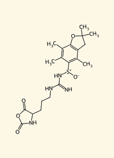 Cc1c(C)c([S+]([O-])NC(=N)NCCCC2NC(=O)OC2=O)c(C)c2c1OC(C)(C)C2